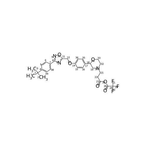 CC(C)(C)c1ccc(-c2noc(COc3ccc(C4CN(CCC(=O)OC(=O)C(F)(F)F)CCO4)cc3)n2)cc1